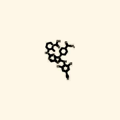 CC1C(Nc2ncc3nc(Nc4c(Cl)cc(C#N)cc4Cl)n(C4CCC(C(N)=O)CC4)c3n2)CCCN1C(=O)O